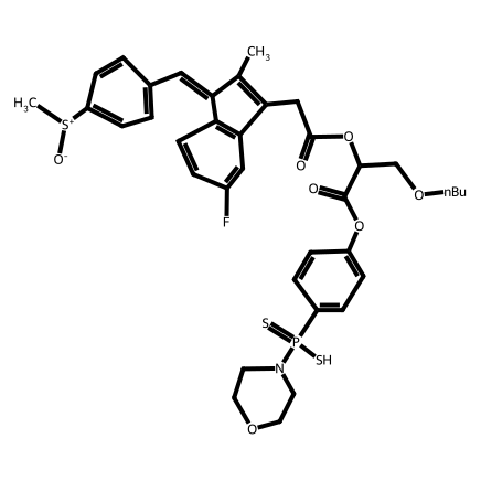 CCCCOCC(OC(=O)CC1=C(C)/C(=C/c2ccc([S+](C)[O-])cc2)c2ccc(F)cc21)C(=O)Oc1ccc(P(=S)(S)N2CCOCC2)cc1